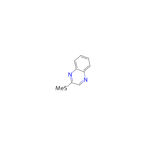 CSc1cnc2ccccc2n1